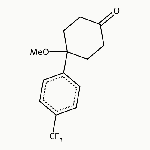 COC1(c2ccc(C(F)(F)F)cc2)CCC(=O)CC1